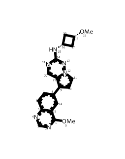 COc1ncnc2ccc(-c3ccn4nc(N[C@H]5C[C@@H](OC)C5)ncc34)cc12